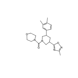 Cc1noc(C2CC(c3ccc(C)c(C)c3)CN(C(=O)N3CCOCC3)C2)n1